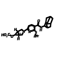 CCCSc1nc(N2C[C@@H]3C(OC(=O)O)[C@@H]3C2)ccc1C(=O)NC1C2CC3CC(C2)CC1C3